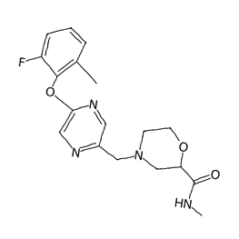 CNC(=O)C1CN(Cc2cnc(Oc3c(C)cccc3F)cn2)CCO1